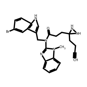 C#CCCC1(CCC(=O)N(Cc2c[nH]c3ccc(Br)cc23)c2nc3ccccc3n2C)NN1